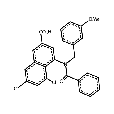 COc1cccc(CN(C(=O)c2ccccc2)c2cc(C(=O)O)cc3cc(Cl)cc(Cl)c23)c1